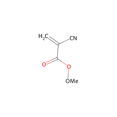 C=C(C#N)C(=O)OOC